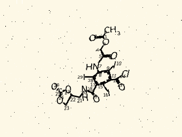 CC(=O)OCC(=O)Nc1c(I)c(C(=O)Cl)c(I)c(C(=O)NCC2COS(=O)O2)c1I